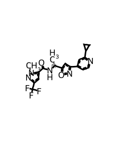 C[C@@H](NC(=O)c1cc(C(F)(F)F)nn1C)c1cc(-c2ccnc(C3CC3)c2)no1